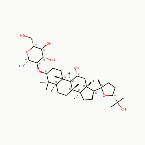 CC(C)(O)[C@H]1CC[C@@](C)([C@H]2CC[C@]3(C)[C@@H]2C[C@@H](O)[C@@H]2[C@@]4(C)CC[C@H](O[C@@H]5[C@@H](O)[C@H](O)[C@@H](CO)O[C@H]5O)C(C)(C)[C@@H]4CC[C@]23C)O1